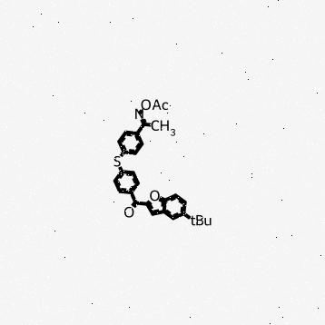 CC(=O)ON=C(C)c1ccc(Sc2ccc(C(=O)c3cc4cc(C(C)(C)C)ccc4o3)cc2)cc1